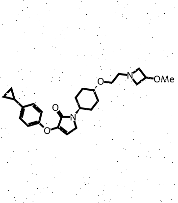 COC1CN(CCO[C@H]2CC[C@H](N3CC=C(Oc4ccc(C5CC5)cc4)C3=O)CC2)C1